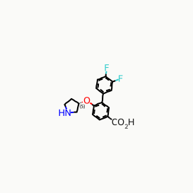 O=C(O)c1ccc(O[C@H]2CCNC2)c(-c2ccc(F)c(F)c2)c1